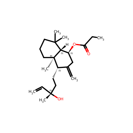 C=C[C@@](C)(O)CC[C@H]1C(=C)C[C@H](OC(=O)CC)[C@H]2C(C)(C)CCC[C@]12C